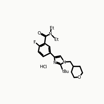 CCN(CC)C(=O)c1cc(-c2cn(CC3CCOCC3)c(C(C)(C)C)n2)ccc1F.Cl